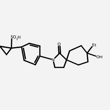 CCC1(O)CCC2(CCN(c3ccc(C4(S(=O)(=O)O)CC4)cc3)C2=O)CC1